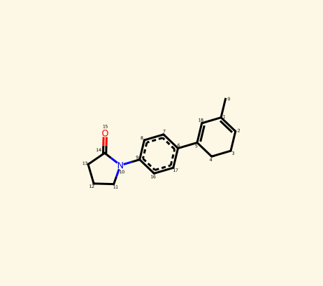 CC1=CC[CH]C(c2ccc(N3CCCC3=O)cc2)=C1